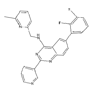 Cc1cccc(CNc2nc(-c3cccnc3)nc3ccc(-c4cccc(F)c4F)cc23)n1